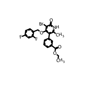 CCOC(=O)c1cccc(-c2c(C)[nH]c(=O)c(Br)c2OCc2ccc(F)cc2F)c1